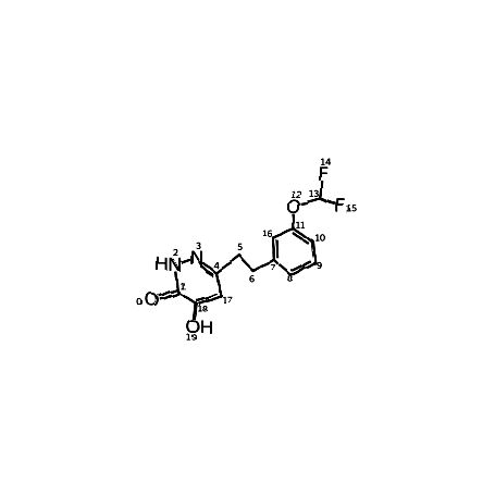 O=c1[nH]nc(CCc2cccc(OC(F)F)c2)cc1O